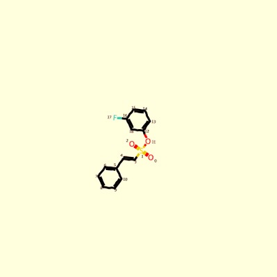 O=S(=O)(/C=C/c1ccccc1)Oc1cccc(F)c1